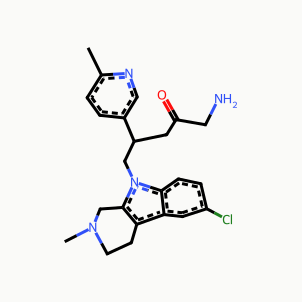 Cc1ccc(C(CC(=O)CN)Cn2c3c(c4cc(Cl)ccc42)CCN(C)C3)cn1